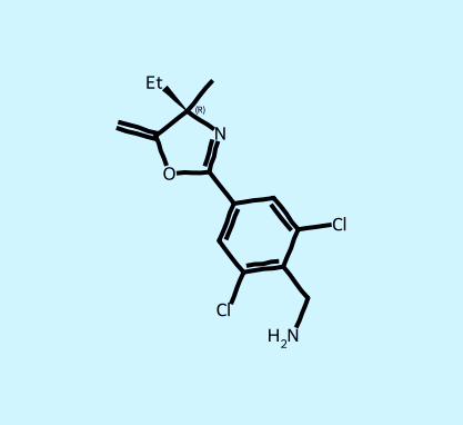 C=C1OC(c2cc(Cl)c(CN)c(Cl)c2)=N[C@]1(C)CC